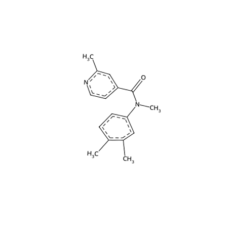 Cc1cc(C(=O)N(C)c2ccc(C)c(C)c2)ccn1